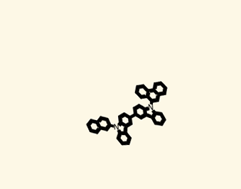 c1ccc2cc(-n3c4ccccc4c4cc(-c5ccc6c(c5)c5ccccc5n6-c5cc6ccccc6c6ccccc56)ccc43)ccc2c1